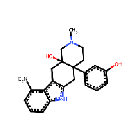 CN1CCC2(c3cccc(O)c3)Cc3[nH]c4cccc([N+](=O)[O-])c4c3CC2(O)C1